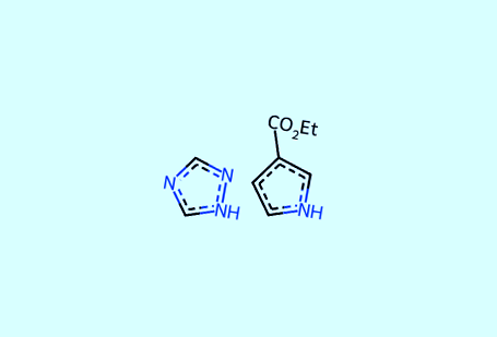 CCOC(=O)c1cc[nH]c1.c1nc[nH]n1